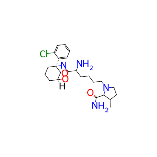 CC1CCN(CCCCC(N)C2=N[C@]3(c4ccccc4Cl)CCC[C@H](O2)C3=O)C1C(N)=O